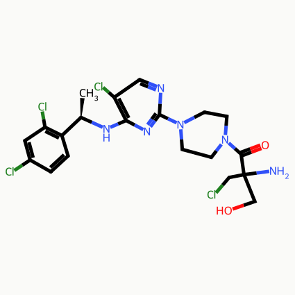 C[C@@H](Nc1nc(N2CCN(C(=O)C(N)(CO)CCl)CC2)ncc1Cl)c1ccc(Cl)cc1Cl